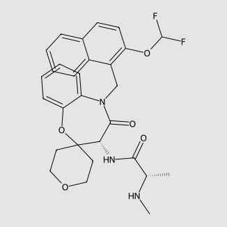 CN[C@@H](C)C(=O)N[C@H]1C(=O)N(Cc2c(OC(F)F)ccc3ccccc23)c2ccccc2OC12CCOCC2